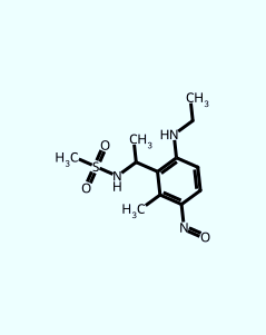 CCNc1ccc(N=O)c(C)c1C(C)NS(C)(=O)=O